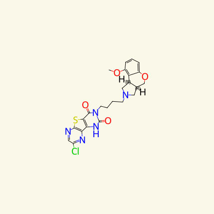 COc1cccc2c1[C@@H]1CN(CCCCn3c(=O)[nH]c4c(sc5ncc(Cl)nc54)c3=O)C[C@@H]1CO2